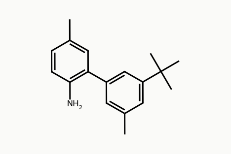 Cc1cc(-c2cc(C)ccc2N)cc(C(C)(C)C)c1